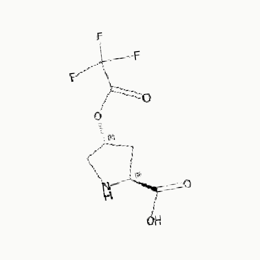 O=C(O)[C@@H]1C[C@@H](OC(=O)C(F)(F)F)CN1